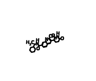 Cc1nc2cc(C(=O)N[C@@H](C)C3CCCCC3)ccc2cc1C1CCC(=O)NC1=O